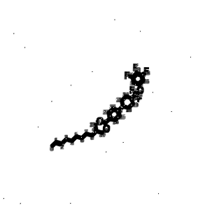 C/C=C/CCCCCCC1COC(c2ccc(C3CCC(C(F)(F)Oc4cc(F)c(F)c(F)c4)CC3)cc2)OC1